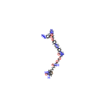 [N-]=[N+]=Nc1ccc([C@]2(Cn3cncn3)OC[C@@H](COC3=CC=C(N4CCN(c5ccc(-n6cnn(CCOCCOCCNC(=O)CCCC[C@@H]7SC[C@@H]8NC(=O)N[C@@H]87)c6=O)cc5)CC4)CC3)O2)cc1